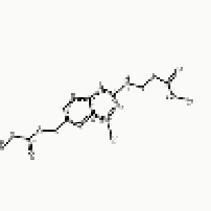 CC(C)OC(=O)CCNc1nc2ccc(COC(=O)CBr)cc2[n+]([O-])n1